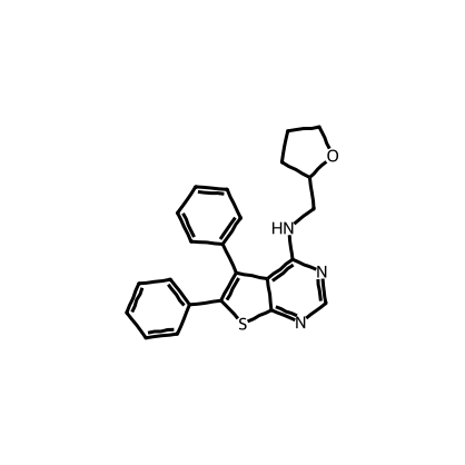 c1ccc(-c2sc3ncnc(NCC4CCCO4)c3c2-c2ccccc2)cc1